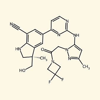 Cc1cc(Nc2nccc(-c3cc(C#N)c4c(c3)[C@@](C)(CO)CN4)n2)n(CC(=O)N2CC(F)(F)C2)n1